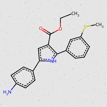 CCOC(=O)c1cc(-c2ccc(N)cc2)[nH]c1-c1cccc(SC)c1